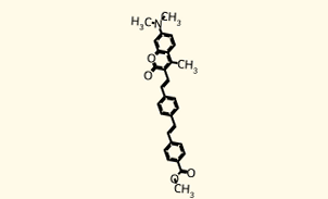 COC(=O)c1ccc(/C=C/c2ccc(/C=C/c3c(C)c4ccc(N(C)C)cc4oc3=O)cc2)cc1